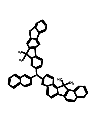 CC1(C)c2cc(N(c3ccc4ccccc4c3)c3ccc4c5c(ccc4c3)-c3ccc4ccccc4c3C5(C)C)ccc2-c2cc3c(cc21)oc1ccccc13